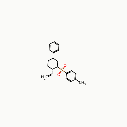 C=C[C@@H]1CC[C@H](c2ccccc2)CC1S(=O)(=O)c1ccc(C)cc1